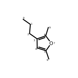 CCCc1[c]c(C)oc1C